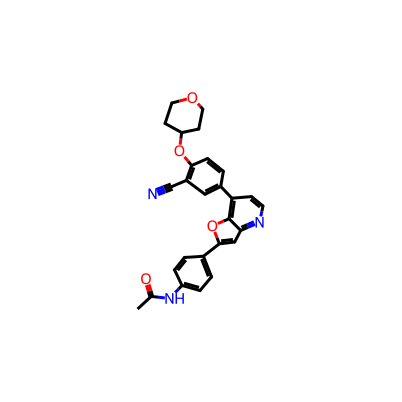 CC(=O)Nc1ccc(-c2cc3nccc(-c4ccc(OC5CCOCC5)c(C#N)c4)c3o2)cc1